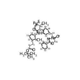 Cc1c(CCC(=O)OC(C)(C)C)cccc1NC(=O)C(c1ccc(CN2N=C(c3ccccc3)OCC2=O)cc1)C(C)C(F)(F)F